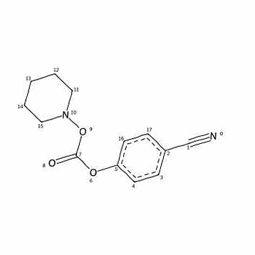 N#Cc1ccc(OC(=O)ON2CCCCC2)cc1